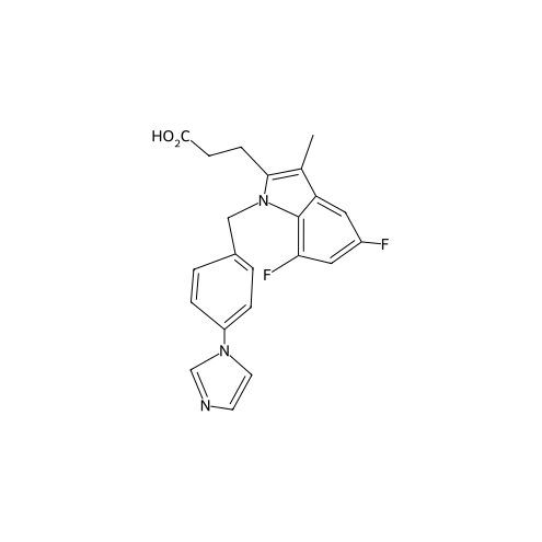 Cc1c(CCC(=O)O)n(Cc2ccc(-n3ccnc3)cc2)c2c(F)cc(F)cc12